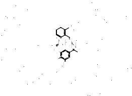 CC1=C(CO/N=C(/C)c2ccc(F)c(F)c2)C(NC=O)=CCC1